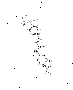 Cn1ccc2cc(NC(=O)C=Cc3ccc(C(C)(C)C)cc3)ccc21